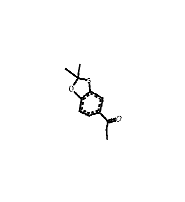 CC(=O)c1ccc2c(c1)SC(C)(C)O2